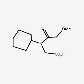 COCC(=O)N(CC(=O)O)C1CCCCC1